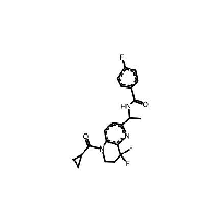 CC(NC(=O)c1ccc(F)cc1)c1ccc2c(n1)C(F)(F)CCN2C(=O)C1CC1